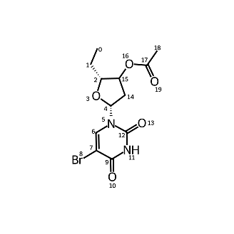 CC[C@H]1O[C@@H](n2cc(Br)c(=O)[nH]c2=O)CC1OC(C)=O